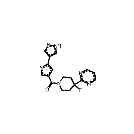 O=C(c1csc(-c2cn[nH]c2)c1)N1CCC(F)(c2ncccn2)CC1